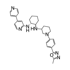 Cc1nnc(-c2ccc(N3CCCC(N[C@@H]4CCCC[C@H]4Nc4cc(-c5ccncc5)ccn4)C3)cc2)o1